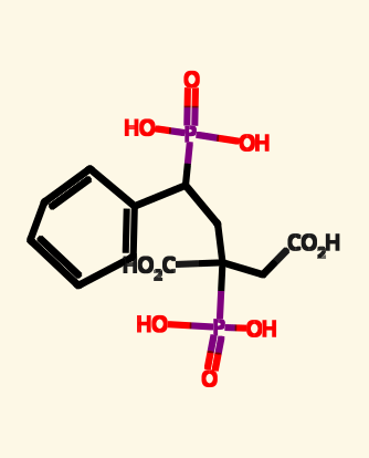 O=C(O)CC(CC(c1ccccc1)P(=O)(O)O)(C(=O)O)P(=O)(O)O